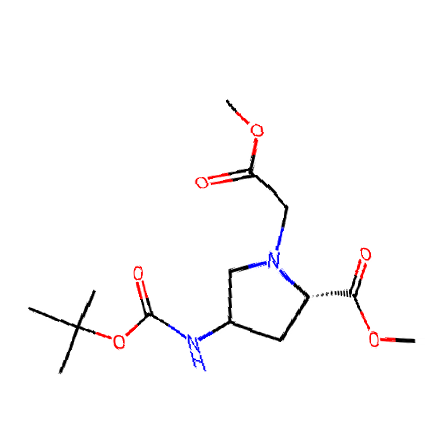 COC(=O)CN1CC(NC(=O)OC(C)(C)C)C[C@H]1C(=O)OC